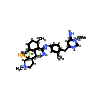 CC/N=C(/Nc1ccc(Cc2cc(=N)n(NC)cn2)c(C)c1)C1=C(CC2CCN(C)CC2(F)P)C(C)=CCC1C